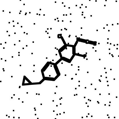 Fc1cc(-c2ccc(CC3CC3)cc2)cc(Cl)c1N=C=S